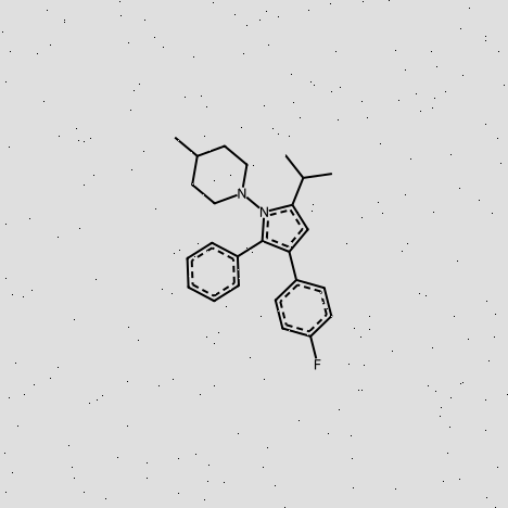 CC1CCN(n2c(C(C)C)cc(-c3ccc(F)cc3)c2-c2ccccc2)CC1